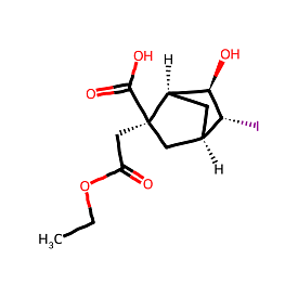 CCOC(=O)C[C@@]1(C(=O)O)C[C@H]2C[C@@H]1[C@@H](O)[C@@H]2I